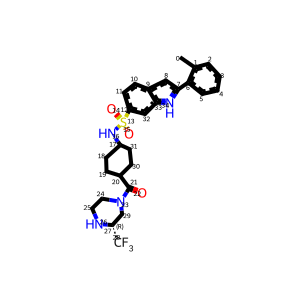 Cc1ccccc1-c1cc2ccc(S(=O)(=O)NC3CCC(C(=O)N4CCN[C@@H](C(F)(F)F)C4)CC3)cc2[nH]1